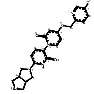 O=c1[nH]c(N2CC3CNCC3C2)ccc1-n1ccc(OCc2ccc(Cl)cn2)cc1=O